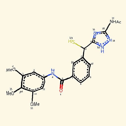 COc1cc(NC(=O)c2cccc(C(S)c3nc(NC(C)=O)n[nH]3)c2)cc(OC)c1OC